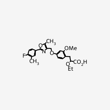 CCOC(Cc1ccc(OCc2nc(-c3ccc(F)c(C)c3)oc2C)cc1OC)C(=O)O